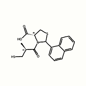 C[C@H](CS)C(=O)N1C(c2cccc3ccccc23)SC[C@H]1C(=O)O